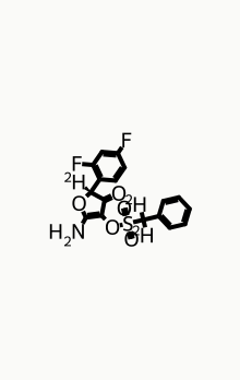 [2H]C([2H])(c1ccccc1)S(=O)(=O)OC1=C(N)O[C@]([2H])(c2ccc(F)cc2F)C1=O